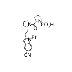 CCn1c(CC[C@@H]2CCCN2C(=O)[C@H]2CCCN2C(=O)O)cc2cc(C#N)ccc21